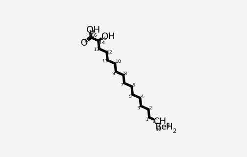 CCCCCCCCCCCCCCC(O)C(=O)O.[BeH2]